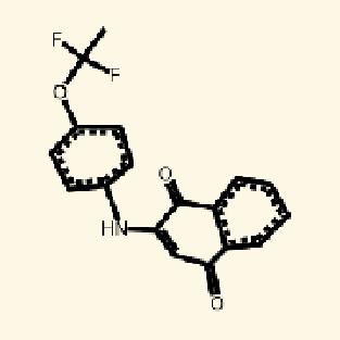 CC(F)(F)Oc1ccc(NC2=CC(=O)c3ccccc3C2=O)cc1